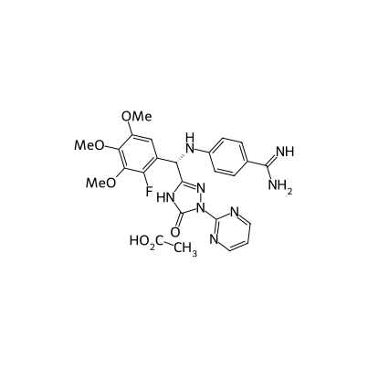 CC(=O)O.COc1cc([C@H](Nc2ccc(C(=N)N)cc2)c2nn(-c3ncccn3)c(=O)[nH]2)c(F)c(OC)c1OC